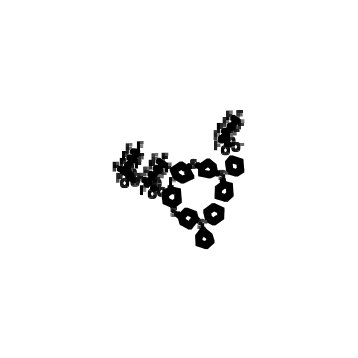 O=S(=O)([O-])C(F)(F)C(F)(F)C(F)(F)C(F)(F)F.O=S(=O)([O-])C(F)(F)C(F)(F)C(F)(F)C(F)(F)F.O=S(=O)([O-])C(F)(F)C(F)(F)C(F)(F)C(F)(F)F.c1ccc([S+](c2ccccc2)c2ccc(Sc3ccc([I+]c4ccc(Sc5ccc([S+](c6ccccc6)c6ccccc6)cc5)cc4)cc3)cc2)cc1